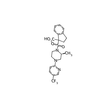 C[C@H]1CN(c2ccc(C(F)(F)F)cn2)CCN1S(=O)(=O)C1(C(=O)O)CCc2ccccc21